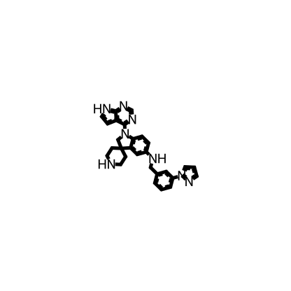 c1cc(CNc2ccc3c(c2)C2(CCNCC2)CN3c2ncnc3[nH]ccc23)cc(-n2cccn2)c1